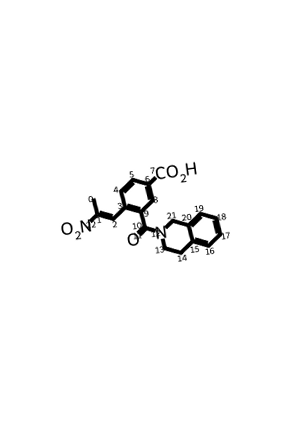 C/C(=C\c1ccc(C(=O)O)cc1C(=O)N1CCc2ccccc2C1)[N+](=O)[O-]